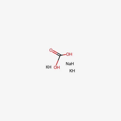 O=C(O)O.[KH].[KH].[NaH]